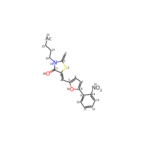 C=c1s/c(=C\c2ccc(-c3ccccc3[N+](=O)[O-])o2)c(=O)n1CCCC(C)=O